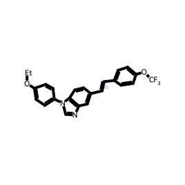 CCOc1ccc(-n2cnc3cc(/C=C/c4ccc(OC(F)(F)F)cc4)ccc32)cc1